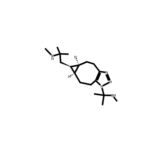 CBC(C)(C)C[C@@H]1[C@@H]2CCc3c(nnn3C(C)(C)BC)CC[C@@H]21